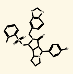 Cc1ccccc1S(=O)(=O)OC1C2C(C(=O)N1Cc1ccc3c(c1)OCO3)C(c1ccc(Br)cc1)N1CCCC21